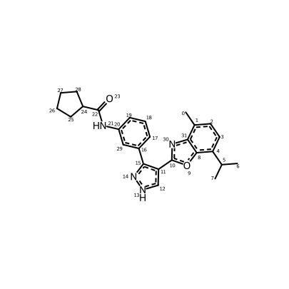 Cc1ccc(C(C)C)c2oc(-c3c[nH]nc3-c3cccc(NC(=O)C4CCCC4)c3)nc12